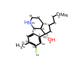 COCCCC[C@@](O)(c1ccc(C)c(F)c1)C1CCCNC1